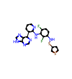 Fc1ccc(NSc2ccsc2)c(F)c1Nc1ncccc1-c1ncnc2[nH]cnc12